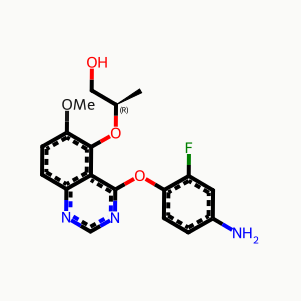 COc1ccc2ncnc(Oc3ccc(N)cc3F)c2c1O[C@H](C)CO